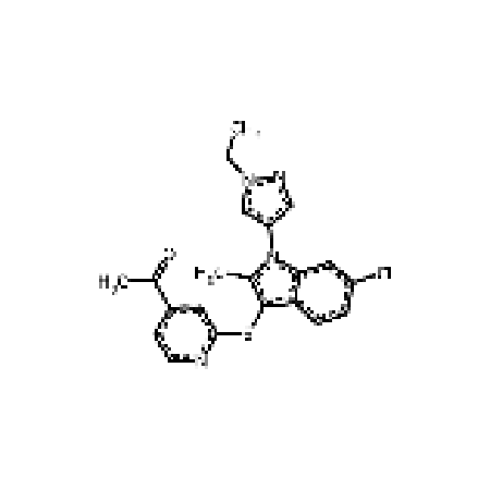 CCn1cc(-n2c(C)c(Sc3cc(C(C)=O)ccn3)c3ccc(Cl)cc32)cn1